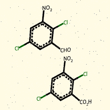 O=C(O)c1cc(Cl)cc([N+](=O)[O-])c1Cl.O=Cc1cc(Cl)cc([N+](=O)[O-])c1Cl